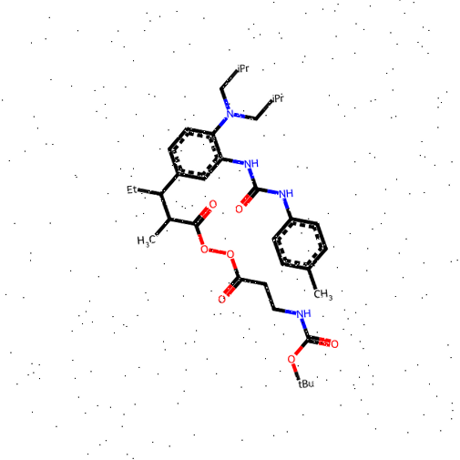 CCC(c1ccc(N(CC(C)C)CC(C)C)c(NC(=O)Nc2ccc(C)cc2)c1)C(C)C(=O)OOC(=O)CCNC(=O)OC(C)(C)C